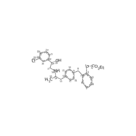 CCOC(=O)Oc1ccccc1Cc1ccc(CC(C)NCC(O)c2cccc(Cl)c2)cc1